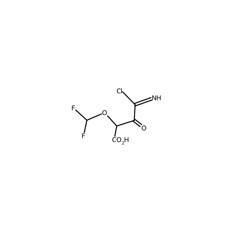 N=C(Cl)C(=O)C(OC(F)F)C(=O)O